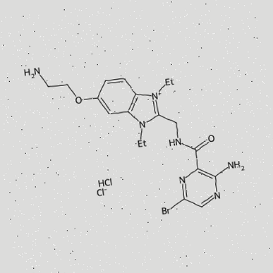 CCn1c(CNC(=O)c2nc(Br)cnc2N)[n+](CC)c2ccc(OCCN)cc21.Cl.[Cl-]